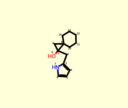 OC1(Cc2ccc[nH]2)CC12CCCCC2